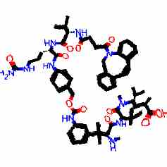 CN[C@H](C(=O)NC(C(=O)N(C)[C@H](/C=C(\C)C(=O)O)C(C)C)C(C)(C)C)C(C)(C)c1cccc(NC(=O)OCc2ccc(NC(=O)[C@H](CCCNC(N)=O)NC(=O)[C@@H](NC(=O)CCC(=O)N3Cc4ccccc4C#Cc4ccccc43)C(C)C)cc2)c1